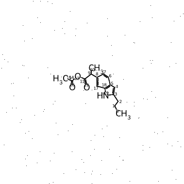 CCCc1cc2ccc(C(C)C(=O)OC(C)=O)cc2[nH]1